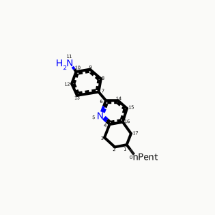 CCCCCC1CCc2nc(-c3ccc(N)cc3)ccc2C1